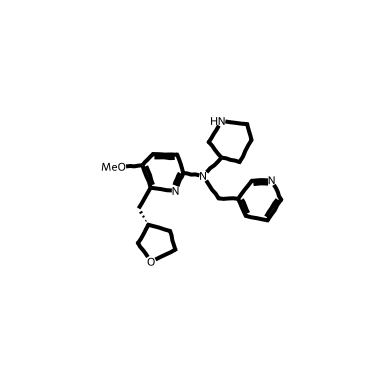 COc1ccc(N(Cc2cccnc2)C2CCCNC2)nc1C[C@@H]1CCOC1